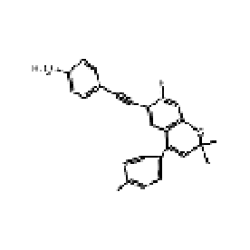 Cc1ccc(C2=CC(C)(C)Sc3cc(F)c(C#Cc4ccc(C(=O)O)cc4)cc32)cc1